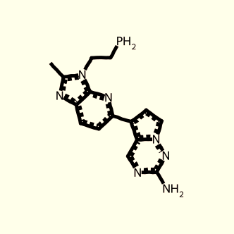 Cc1nc2ccc(-c3ccn4nc(N)ncc34)nc2n1CCP